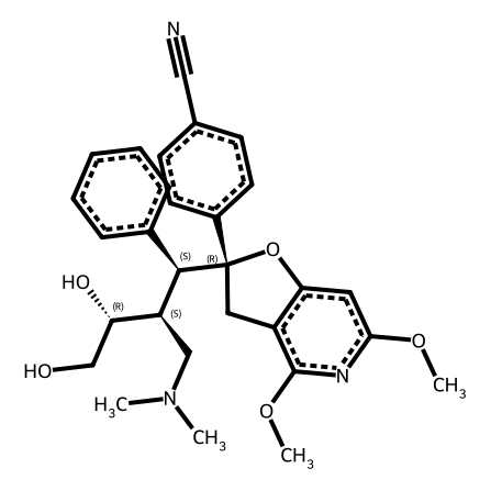 COc1cc2c(c(OC)n1)C[C@](c1ccc(C#N)cc1)([C@H](c1ccccc1)[C@@H](CN(C)C)[C@@H](O)CO)O2